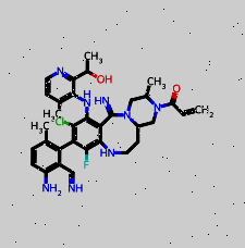 C=CC(=O)N1CC2CCNc3c(F)c(-c4c(C)ccc(N)c4C=N)c(Cl)c(Nc4c(C)ccnc4C(C)O)c3C(=N)N2CC1C